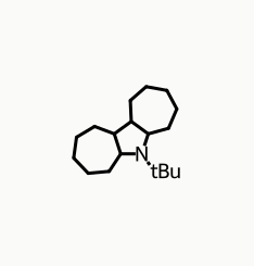 CC(C)(C)N1C2CCCCCC2C2CCCCCC21